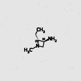 CC[C@@H]1[C@@H](N)CN1C